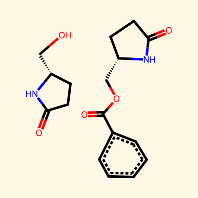 O=C1CC[C@@H](CO)N1.O=C1CC[C@@H](COC(=O)c2ccccc2)N1